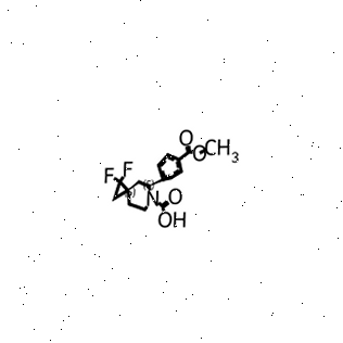 COC(=O)c1ccc([C@@H]2C[C@@]3(CCN2C(=O)O)CC3(F)F)cc1